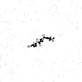 CC(C)c1ccc(NC(=O)C2CN(C(=O)C#CC(C)(C)N(C)C)C2)s1